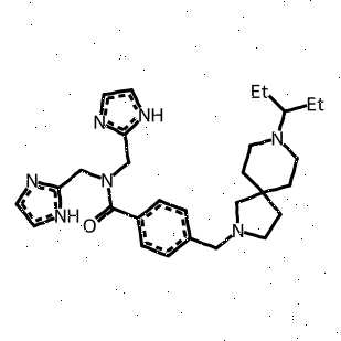 CCC(CC)N1CCC2(CCN(Cc3ccc(C(=O)N(Cc4ncc[nH]4)Cc4ncc[nH]4)cc3)C2)CC1